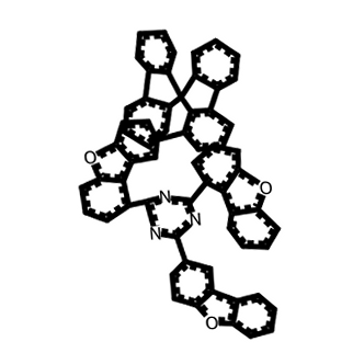 c1ccc2c(c1)-c1ccccc1C21c2ccccc2-c2cccc(-c3ccc4oc5cccc(-c6nc(-c7ccc8oc9ccccc9c8c7)nc(-c7cccc8oc9ccccc9c78)n6)c5c4c3)c21